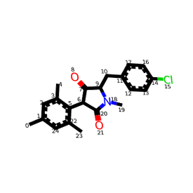 Cc1cc(C)c(C2C(=O)C(Cc3ccc(Cl)cc3)N(C)C2=O)c(C)c1